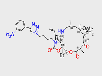 B[C@@H]1[C@@H](C)C(=O)[C@@H](C)C(=O)O[C@H](CC)[C@@]2(C)OC(=O)N(CCCCn3cc(-c4cccc(N)c4)nn3)[C@@H]2[C@@H](CC=C)NC[C@H](C)C[C@@]1(C)OC